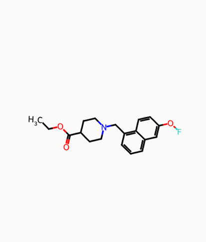 CCOC(=O)C1CCN(Cc2cccc3cc(OF)ccc23)CC1